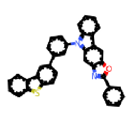 c1ccc(-c2nc3cc4c(cc3o2)c2ccccc2n4-c2cccc(-c3ccc4sc5ccccc5c4c3)c2)cc1